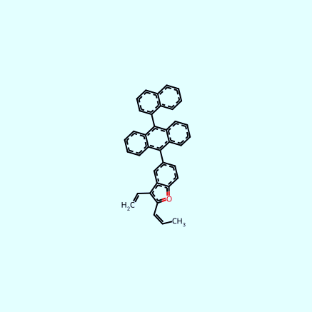 C=Cc1c(/C=C\C)oc2ccc(-c3c4ccccc4c(-c4cccc5ccccc45)c4ccccc34)cc12